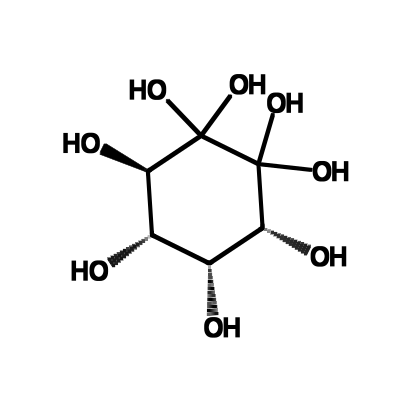 O[C@@H]1[C@H](O)[C@@H](O)C(O)(O)C(O)(O)[C@@H]1O